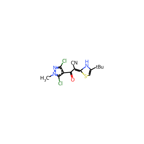 Cn1nc(Cl)c(C(=O)C(C#N)=C2NC(C(C)(C)C)=CS2)c1Cl